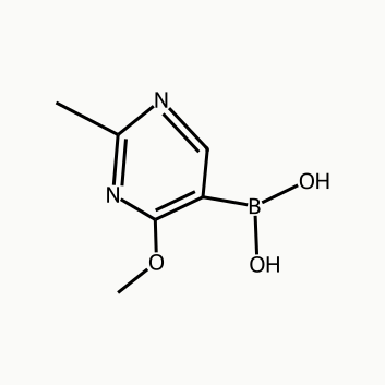 COc1nc(C)ncc1B(O)O